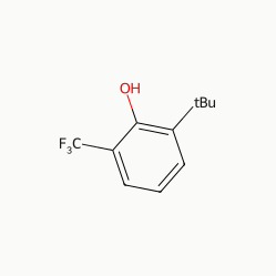 CC(C)(C)c1cccc(C(F)(F)F)c1O